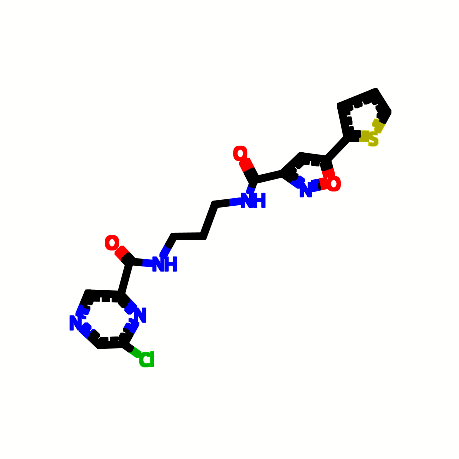 O=C(NCCCNC(=O)c1cncc(Cl)n1)c1cc(-c2cccs2)on1